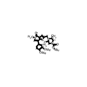 COc1ccc(-c2cn(C)c(=O)c3cc(CN4C(C)CN(C(=O)OC(C)(C)C)C[C@@H]4C)sc23)cc1OC